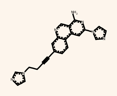 Nc1nc(-n2ccnc2)cc2c1cnc1cc(C#CCCn3ccnc3)ccc12